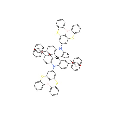 c1ccc(-c2ccc3c(c2)[Si]2(c4cc(-c5ccccc5)ccc4N3c3cc4c5c(c3)Sc3ccccc3B5c3ccccc3S4)c3cc(-c4ccccc4)ccc3N(c3cc4c5c(c3)Sc3ccccc3B5c3ccccc3S4)c3ccc(-c4ccccc4)cc32)cc1